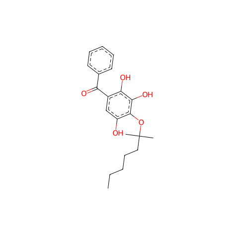 CCCCCC(C)(C)Oc1c(O)cc(C(=O)c2ccccc2)c(O)c1O